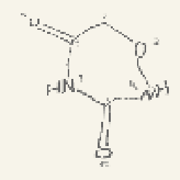 O=C1[CH]ONC(=O)N1